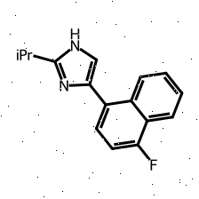 CC(C)c1nc(-c2ccc(F)c3ccccc23)c[nH]1